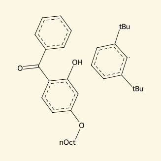 CC(C)(C)c1[c]c(C(C)(C)C)ccc1.CCCCCCCCOc1ccc(C(=O)c2ccccc2)c(O)c1